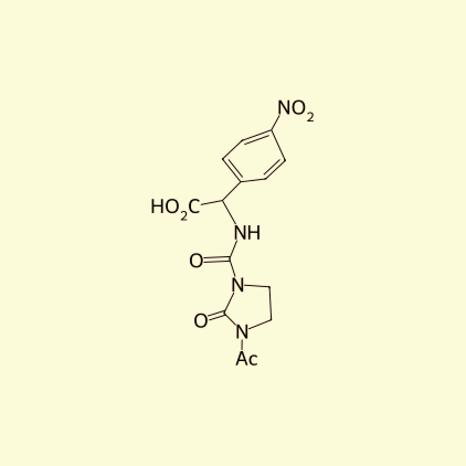 CC(=O)N1CCN(C(=O)NC(C(=O)O)c2ccc([N+](=O)[O-])cc2)C1=O